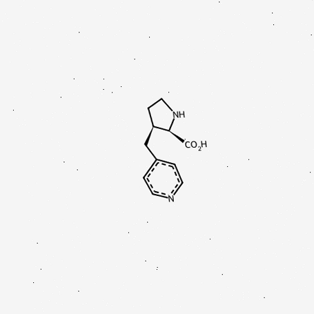 O=C(O)[C@@H]1NCC[C@@H]1Cc1ccncc1